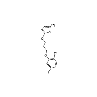 N#Cc1cnc(OCCCOc2cc(I)ccc2Cl)s1